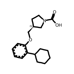 O=C(O)N1CC[C@H](COc2ccccc2C2CCCCC2)C1